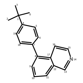 CC(C)(C)c1ccc(-c2cccc3cnccc23)cc1